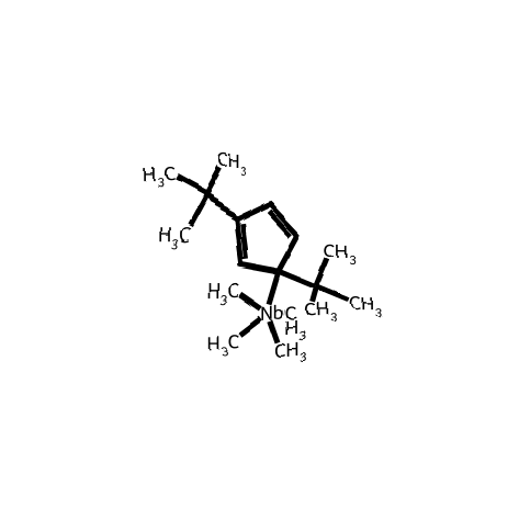 CC(C)(C)C1=C[C](C(C)(C)C)([Nb]([CH3])([CH3])([CH3])[CH3])C=C1